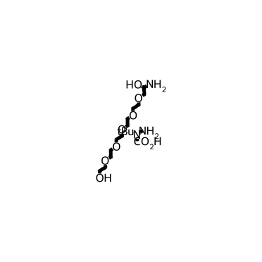 CC(C)(C)N(N)C(=O)O.NC(O)COCCOCCOCCOCCOCCO